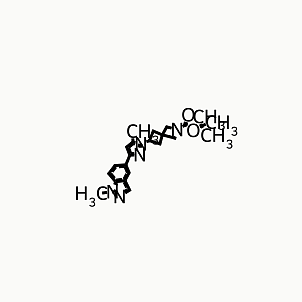 Cc1cc(-c2ccc3c(cnn3C)c2)nn1C1CC2(C1)CN(C(=O)OC(C)(C)C)C2